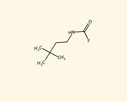 CC(C)(C)CCNC(=O)F